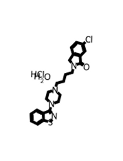 Cl.O.O=C1c2cc(Cl)ccc2CN1CCCCN1CCN(c2nsc3ccccc23)CC1